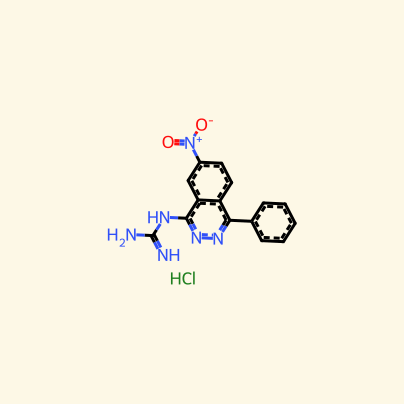 Cl.N=C(N)Nc1nnc(-c2ccccc2)c2ccc([N+](=O)[O-])cc12